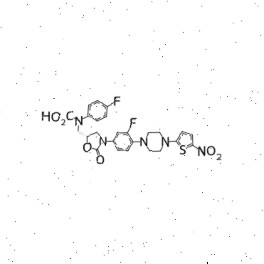 O=C(O)N(C[C@@H]1CN(c2ccc(N3CCN(c4ccc([N+](=O)[O-])s4)CC3)c(F)c2)C(=O)O1)c1ccc(F)cc1